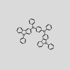 C1=CC2c3cc(N(c4ccccc4)c4ccc(N(c5ccccc5)c5ccc6c(c5)c5ccccc5n6-c5ccccc5)cc4)ccc3N(c3ccccc3)C2C=C1